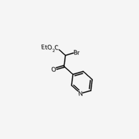 CCOC(=O)C(Br)C(=O)c1cccnc1